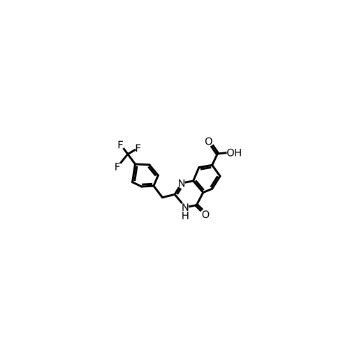 O=C(O)c1ccc2c(=O)[nH]c(Cc3ccc(C(F)(F)F)cc3)nc2c1